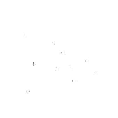 O=S(=O)([O-])[O-].[H+].c1csc(=[N+]2CCOCC2)s1